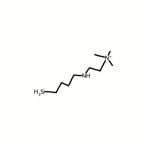 C[N+](C)(C)CCNCCCC[SiH3]